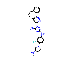 CN(C)C1CCN(c2ccc(Nc3nc(N)n(-c4cc5c(nn4)-c4ccccc4CCC5)n3)cc2F)C1